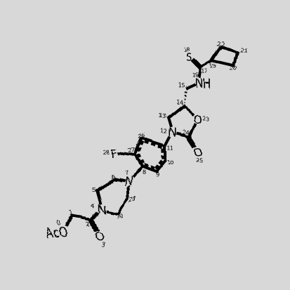 CC(=O)OCC(=O)N1CCN(c2ccc(N3C[C@H](CNC(=S)C4CCC4)OC3=O)cc2F)CC1